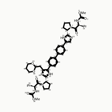 COC(=O)N[C@H](C(=O)N1CCC[C@H]1c1ncc(-c2ccc(-c3ccc(-c4[nH]c([C@@H]5CCCN5C(=O)[C@@H](NC(=O)OC)C(C)C)nc4CC4OCCCO4)cc3)cc2)[nH]1)C(C)C